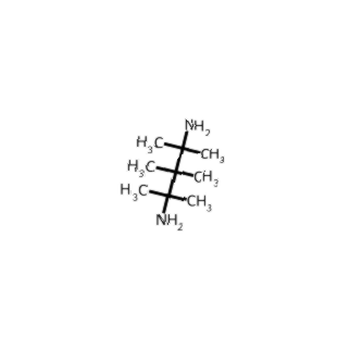 CC(C)(N)C(C)(C)C(C)(C)N